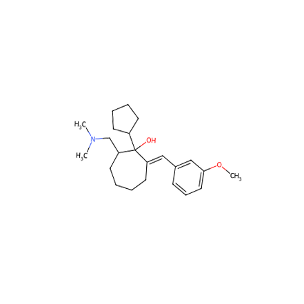 COc1cccc(C=C2CCCCC(CN(C)C)C2(O)C2CCCC2)c1